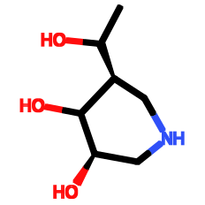 CC(O)[C@H]1CNC[C@@H](O)C1O